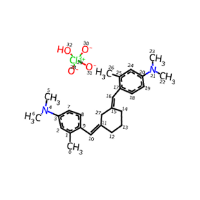 Cc1cc(N(C)C)ccc1C=C1CCCC(=Cc2ccc(N(C)C)cc2C)C1.[O-][Cl+3]([O-])([O-])O